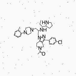 CCC(NC(CN1CCN(c2ccccc2C)CC1)Cn1nc(-c2ccc(Cl)cc2)c2c1CCN(C(C)=O)C2)C1CCCN1